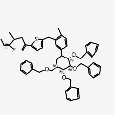 C=C(CC(C)/C(F)=C\C)c1ccc(Cc2cc(C3C[C@H](COCc4ccccc4)[C@@H](OCc4ccccc4)[C@H](OCc4ccccc4)[C@H]3OCc3ccccc3)ccc2C)s1